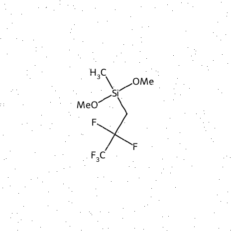 CO[Si](C)(CC(F)(F)C(F)(F)F)OC